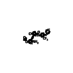 CN1CCN(Cc2ccc(NC(=O)c3ccc(Cl)c(C#Cc4cc(OC5COC5)cnc4N)c3)cc2C(F)(F)F)CC1